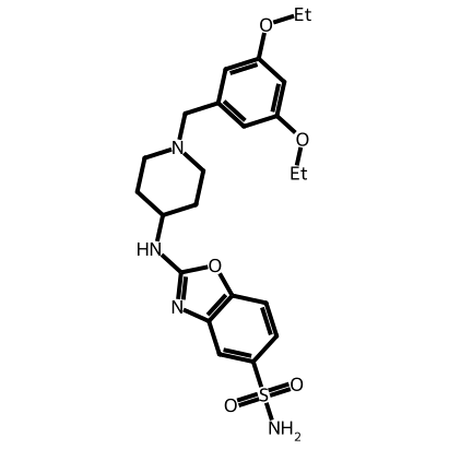 CCOc1cc(CN2CCC(Nc3nc4cc(S(N)(=O)=O)ccc4o3)CC2)cc(OCC)c1